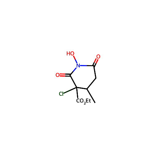 CCOC(=O)C1(Cl)C(=O)N(O)C(=O)CC1C